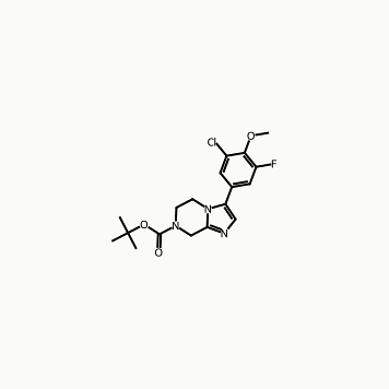 COc1c(F)cc(-c2cnc3n2CCN(C(=O)OC(C)(C)C)C3)cc1Cl